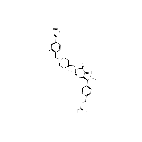 Cn1nc2c(=O)n(CC3(O)CCN(Cc4ccc(-c5ncno5)cc4F)CC3)cnc2c1-c1ccc(COC(N)=O)cc1